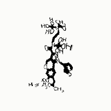 COc1cc2c(cc1CC(C)C)-c1c(c(C(=O)N(CCN(C(C)=O)C(O)(O)O)C(O)(O)O)nn1-c1ccsc1)CO2